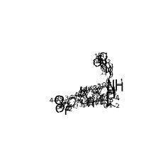 C=C(C)[C@@H]1CC[C@]2(NCCN3CCN(S(C)(=O)=O)CC3)CC[C@]3(C)[C@H](CC[C@@H]4[C@@]5(C)CC=C(c6ccc(C(=O)OC)c(F)c6)C(C)(C)[C@@H]5CC[C@]43C)[C@@H]12